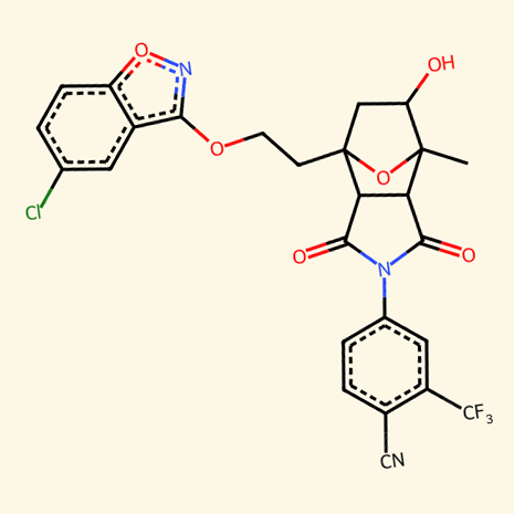 CC12OC(CCOc3noc4ccc(Cl)cc34)(CC1O)C1C(=O)N(c3ccc(C#N)c(C(F)(F)F)c3)C(=O)C12